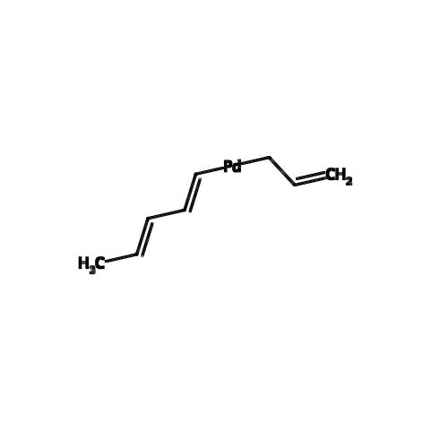 C=C[CH2][Pd][CH]=CC=CC